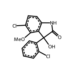 COc1c(Cl)ccc2c1C(O)(c1ccccc1Cl)C(=O)N2